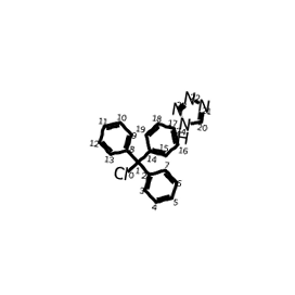 ClC(c1ccccc1)(c1ccccc1)c1ccccc1.c1nnn[nH]1